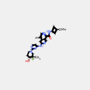 CO[C@H]1C[C@@H](NC(=O)c2ncc(C(C)C)c3cc(Nc4ccnc(N5CC[C@@H](O)[C@@](C)(F)C5)n4)ncc23)C1